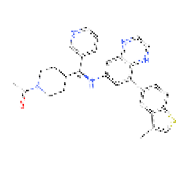 CC(=O)N1CCC([C@H](Nc2cc(-c3ccc4scc(C)c4c3)c3nccnc3c2)c2cccnc2)CC1